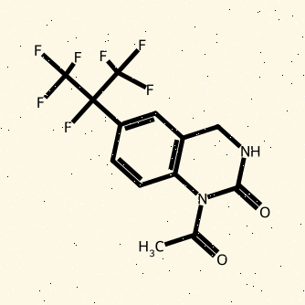 CC(=O)N1C(=O)NCc2cc(C(F)(C(F)(F)F)C(F)(F)F)ccc21